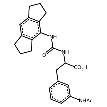 CC(=O)Nc1cccc(CC(NC(=O)Nc2c3c(cc4c2CCC4)CCC3)C(=O)O)c1